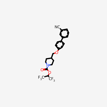 N#Cc1cccc(-c2ccc(OCC3CCN(C(=O)OC(C(F)(F)F)C(F)(F)F)CC3)cc2)c1